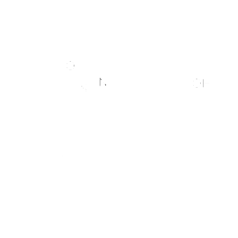 CCc1ccc([S+]([O-])N2CCC(CO)CC2)cc1